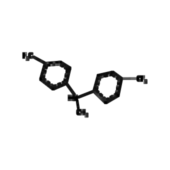 C[SiH](c1ccc(C(F)(F)F)cc1)c1ccc(C(F)(F)F)cc1